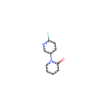 O=c1ccccn1-c1ccc(F)nc1